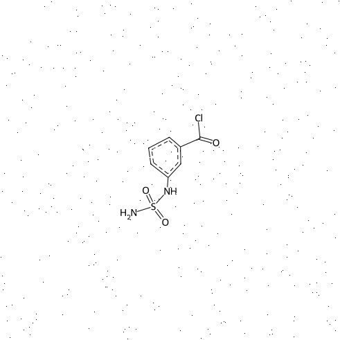 NS(=O)(=O)Nc1cccc(C(=O)Cl)c1